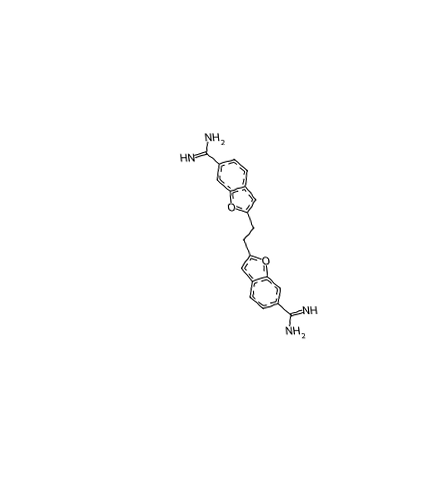 N=C(N)c1ccc2cc(CCc3cc4ccc(C(=N)N)cc4o3)oc2c1